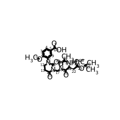 COc1ccc(C(=O)O)cc1N1CCC(=O)N(CNC(=O)[C@H](CC(=O)OC(C)(C)C)NC(C)=O)C1=O